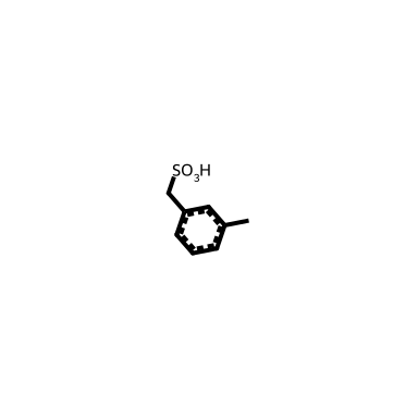 Cc1cccc(CS(=O)(=O)O)c1